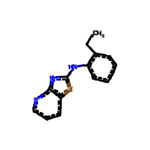 CCc1ccccc1Nc1nc2ncccc2s1